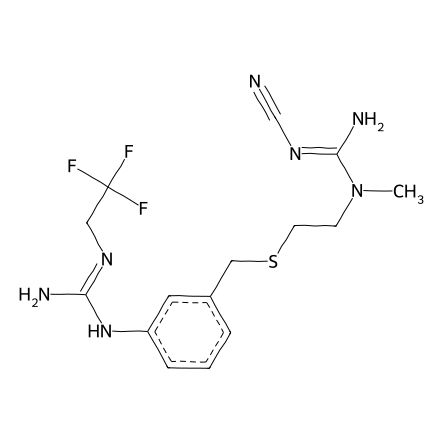 CN(CCSCc1cccc(NC(N)=NCC(F)(F)F)c1)C(N)=NC#N